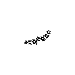 Cc1cc(-c2ncnc(Nc3ccc(N4CCN(C5COC5)CC4)cc3)n2)ccc1O[C@H]1CCN(C2CCOC2)C[C@H]1F